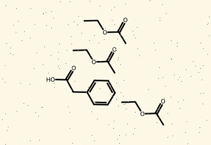 CCOC(C)=O.CCOC(C)=O.CCOC(C)=O.O=C(O)Cc1ccccc1